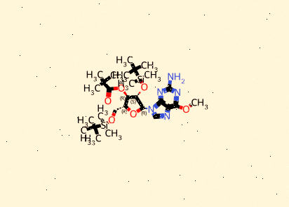 COc1nc(N)nc2c1ncn2[C@@H]1O[C@H](CO[Si](C)(C)C(C)(C)C)[C@@H](OC(=O)C(C)(C)C)[C@@H]1O[Si](C)(C)C(C)(C)C